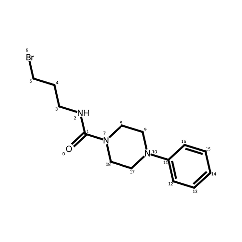 O=C(NCCCBr)N1CCN(c2ccccc2)CC1